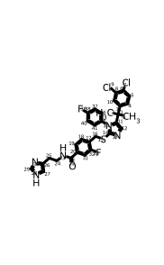 CC(C)(c1ccc(Cl)c(Cl)c1)c1cnc(SCc2ccc(C(=O)NCCc3c[nH]cn3)cc2F)n1-c1ccc(F)cc1